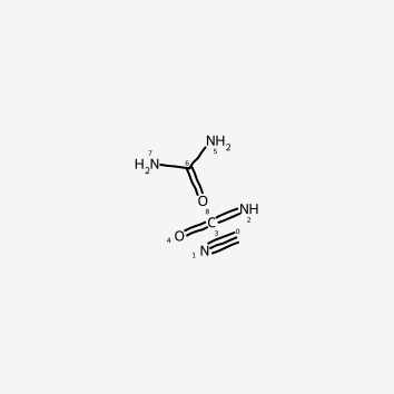 C#N.N=C=O.NC(N)=O